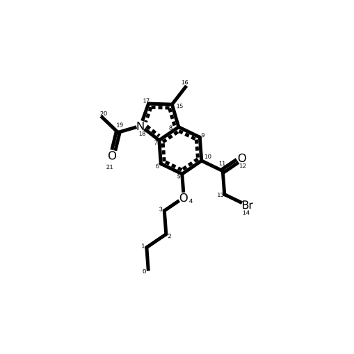 CCCCOc1cc2c(cc1C(=O)CBr)c(C)cn2C(C)=O